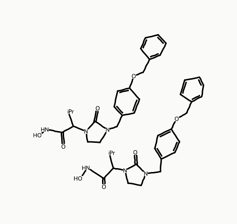 CC(C)C(C(=O)NO)N1CCN(Cc2ccc(OCc3ccccc3)cc2)C1=O.CC(C)C(C(=O)NO)N1CCN(Cc2ccc(OCc3ccccc3)cc2)C1=O